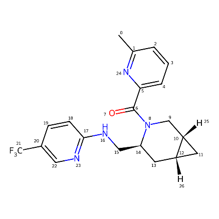 Cc1cccc(C(=O)N2C[C@@H]3C[C@@H]3C[C@H]2CNc2ccc(C(F)(F)F)cn2)n1